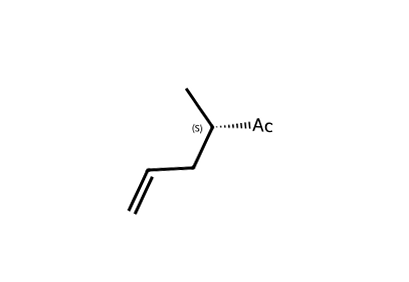 C=CC[C@H](C)C(C)=O